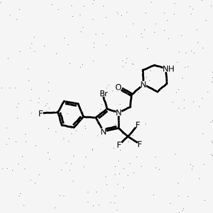 O=C(Cn1c(C(F)(F)F)nc(-c2ccc(F)cc2)c1Br)N1CCNCC1